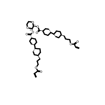 C=CC(=O)OCCC[C@H]1CC[C@H]([C@H]2CC[C@H](C(=O)O[C@@H]3OCCO[C@H]3OC(=O)[C@H]3CC[C@H]([C@H]4CC[C@H](CCCOC(=O)C=C)CC4)CC3)CC2)CC1